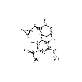 CC1CC2CC(C([C@H](C)OC(=O)C(C)(C)C)N(C(=O)CC(F)(F)F)C2)N1CC1CC1